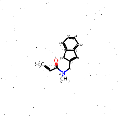 C=CC(=O)N(C)CC1=Cc2ccccc2C1